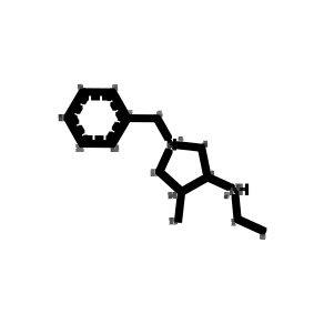 CCNC1CN(Cc2ccccc2)CC1C